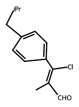 C/C(C=O)=C(/Cl)c1ccc(CC(C)C)cc1